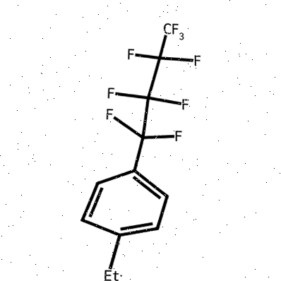 C[CH]c1ccc(C(F)(F)C(F)(F)C(F)(F)C(F)(F)F)cc1